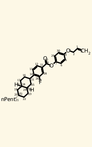 C=CCOc1ccc(OC(=O)c2ccc(C3CC[C@H]4C[C@@H](CCCCC)CC[C@@H]4C3)c(F)c2)cc1